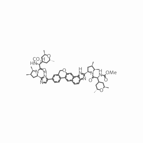 COC(=O)N[C@H](C(=O)N1[C@@H](c2nc3ccc4cc5c(cc4c3[nH]2)OCc2cc(-c3cnc([C@H]4C[C@@H](C)[C@@H](C)N4C(=O)[C@@H](NC(=O)O)C4C[C@@H](C)O[C@H](C)C4)[nH]3)ccc2-5)C[C@@H](C)[C@H]1C)C1C[C@@H](C)O[C@H](C)C1